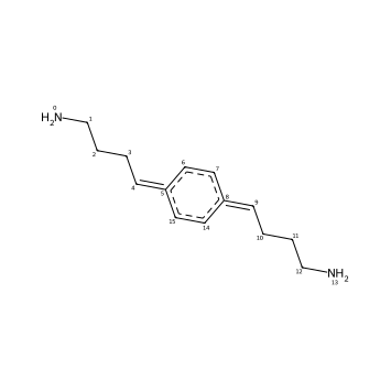 NCCCC=c1ccc(=CCCCN)cc1